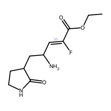 CCOC(=O)/C(F)=C/C(N)CC1CCNC1=O